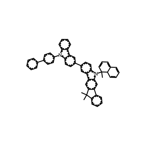 CC1(C)c2ccccc2-c2cc3c(cc21)c1cc(-c2ccc4c(c2)c2ccccc2n4-c2ccc(-c4ccccc4)cc2)ccc1n3C1(C)C=CC=C2C=CC=CC21